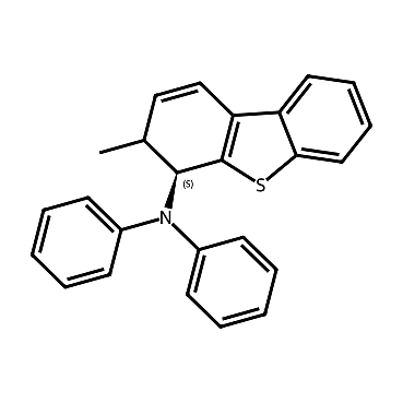 CC1C=Cc2c(sc3ccccc23)[C@H]1N(c1ccccc1)c1ccccc1